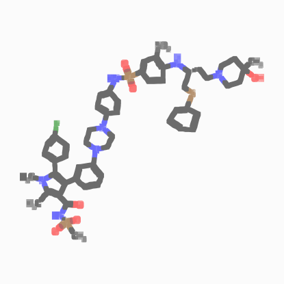 Cc1c(C(=O)NS(C)(=O)=O)c(-c2cccc(N3CCN(c4ccc(NS(=O)(=O)c5ccc(N[C@H](CCN6CCC(C)(O)CC6)CSc6ccccc6)c([N+](=O)[O-])c5)cc4)CC3)c2)c(-c2ccc(F)cc2)n1C